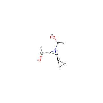 CC(=O)[C@H]1[C@H](C2CC2)N1C(C)O